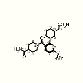 CCCSc1ccc(C(=O)N2CCC(C(N)=O)CC2)c(N2CCC[C@@H](CC(=O)O)C2)n1